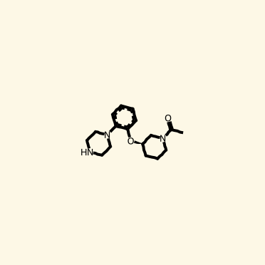 CC(=O)N1CCC[C@@H](Oc2ccccc2N2CCNCC2)C1